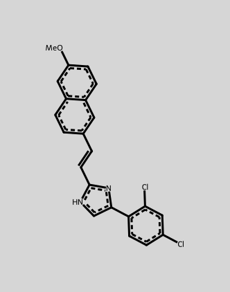 COc1ccc2cc(/C=C/c3nc(-c4ccc(Cl)cc4Cl)c[nH]3)ccc2c1